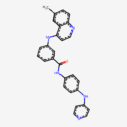 Cc1ccc2nccc(Nc3cccc(C(=O)Nc4ccc(Nc5ccncc5)cc4)c3)c2c1